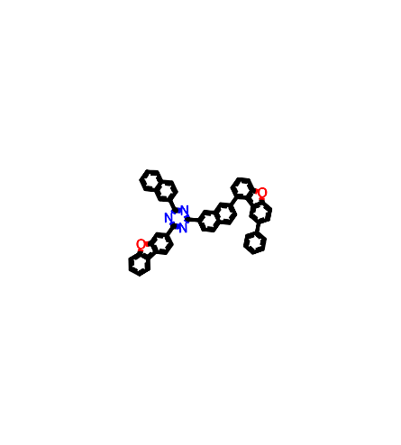 c1ccc(-c2ccc3oc4cccc(-c5ccc6ccc(-c7nc(-c8ccc9ccccc9c8)nc(-c8ccc9c(c8)oc8ccccc89)n7)cc6c5)c4c3c2)cc1